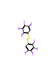 Ic1cc(SSc2cc(I)c(I)c(I)c2I)c(I)c(I)c1I